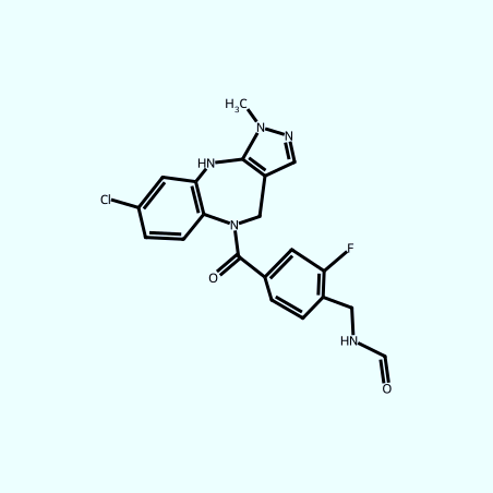 Cn1ncc2c1Nc1cc(Cl)ccc1N(C(=O)c1ccc(CNC=O)c(F)c1)C2